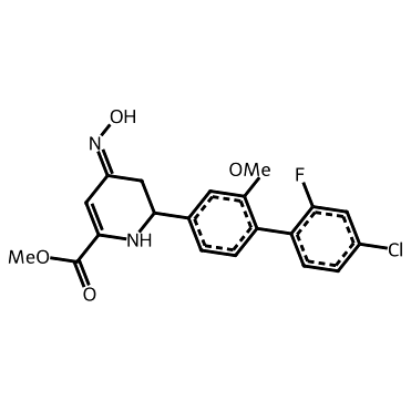 COC(=O)C1=CC(=NO)CC(c2ccc(-c3ccc(Cl)cc3F)c(OC)c2)N1